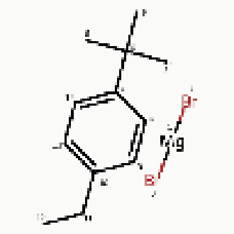 [Br][Mg][Br].[CH2]C(C)(C)c1ccc(CC)cc1